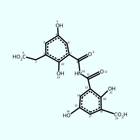 O=C(O)Cc1cc(O)cc(C(=O)NC(=O)c2cc(O)cc(C(=O)O)c2O)c1O